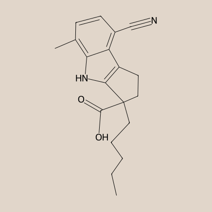 CCCCCC1(C(=O)O)CCc2c1[nH]c1c(C)ccc(C#N)c21